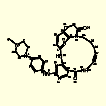 CN1CCN(c2ccc(Nc3ncc4c(n3)Nc3ccc5c(n3)N(CCCC#CCNC4=O)C(=O)CO5)cc2)CC1